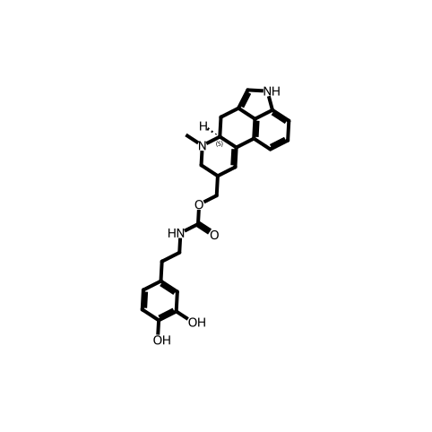 CN1CC(COC(=O)NCCc2ccc(O)c(O)c2)C=C2c3cccc4[nH]cc(c34)C[C@@H]21